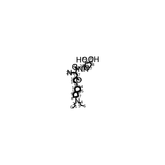 CCCN(CCC)c1ccc2cc(-c3ccc(/C=C(\C#N)C(=O)NC[C@H]4OCC[C@@H](O)[C@@H]4O)o3)ccc2c1